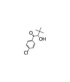 CC(C)(C)C(O)C(=O)c1ccc(Cl)cc1